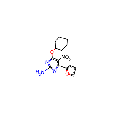 Nc1nc(OC2CCCCC2)c([N+](=O)[O-])c(-c2ccco2)n1